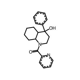 O=C(c1ccccn1)N1CCC(O)(c2ccccc2)C2CCCCC21